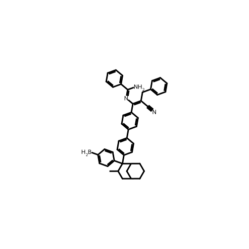 Bc1ccc(C2(c3ccc(-c4ccc(C(/N=C(\N)c5ccccc5)=C(\C#N)Cc5ccccc5)cc4)cc3)C(C)CC3CCCC2C3)cc1